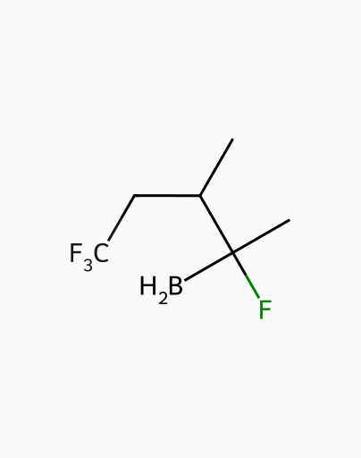 BC(C)(F)C(C)CC(F)(F)F